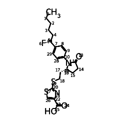 CCCCC[C@@H](F)c1ccc(N2C(=O)CC[C@@H]2CCSc2nc(C(=O)O)cs2)cc1